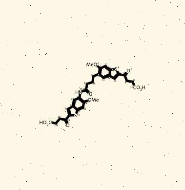 COc1cc2sc(C(=O)CCC(=O)O)cc2cc1CCCC(=O)Nc1cc2cc(C(=O)CCC(=O)O)sc2cc1OC